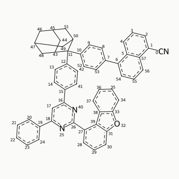 N#Cc1cccc2c(-c3ccc(C4(c5ccc(-c6cc(-c7ccccc7)nc(-c7cccc8oc9ccccc9c78)n6)cc5)C5CC6CC(C5)CC4C6)cc3)cccc12